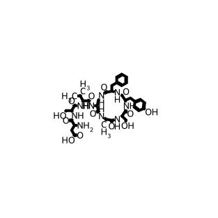 CC1NC(=O)C(NC(=O)C(NC(=O)C(CO)NC(=O)C(N)CC(=O)O)C(C)C)CNC(=O)C(Cc2ccccc2)NC(=O)C(Cc2ccc(O)cc2)NC(=O)C(CO)NC1=O